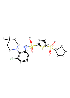 CC1(C)CCN(c2c(Cl)cccc2NS(=O)(=O)c2ccc(S(=O)(=O)C3CCCC3)s2)CC1